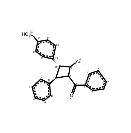 CC(=O)C1C(C(=O)c2ccccc2)[C@@H](c2ccccc2)[C@@H]1c1ccc(C(=O)O)cc1